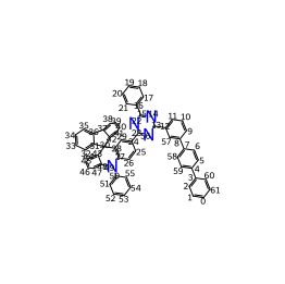 c1ccc(-c2ccc(-c3cccc(-c4nc(-c5ccccc5)nc(-c5ccc6c(c5)C5(c7ccccc7-c7ccccc75)c5ccccc5N6c5ccccc5)n4)c3)cc2)cc1